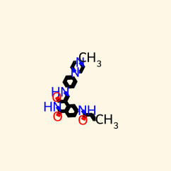 C/C=C/C(=O)Nc1ccc2c(c1)/C(=C/Nc1ccc(N3CCN(C)CC3)cc1)C(=O)NC2=O